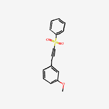 COc1cccc(C#CS(=O)(=O)c2ccccc2)c1